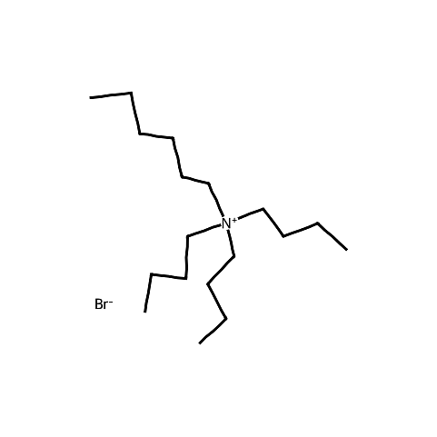 CCCCCC[N+](CCCC)(CCCC)CCCC.[Br-]